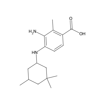 Cc1c(C(=O)O)ccc(NC2CC(C)CC(C)(C)C2)c1N